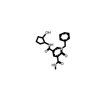 CNC(=O)c1cc(C(=O)NC2CCCC2O)cn(Cc2ccccc2)c1=O